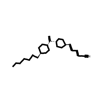 C=C([C@H]1CC[C@H](/C=C/C=C/C#N)CC1)[C@H]1CC[C@H](CCCCCCC)CC1